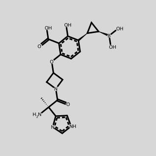 C[C@](N)(C(=O)N1CC(Oc2ccc([C@H]3C[C@H]3B(O)O)c(O)c2C(=O)O)C1)c1c[nH]cn1